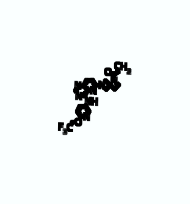 C=CC(=O)N1CCC12CN(c1ccc3ncnc(Nc4ccc(OCC(F)(F)F)nc4)c3n1)C2